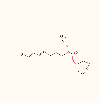 CCC/C=C/CCCC(CCC)C(=O)OC1CCCCC1